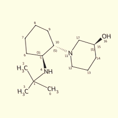 CC(C)(C)N[C@H]1CCCC[C@@H]1N1CCC[C@H](O)C1